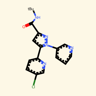 CC(C)(C)NC(=O)c1cc(-c2ccc(Cl)cn2)n(-c2cccnc2)n1